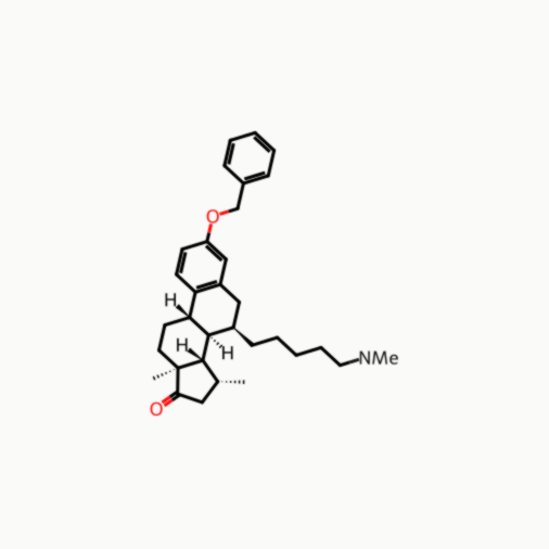 CNCCCCC[C@@H]1Cc2cc(OCc3ccccc3)ccc2[C@H]2CC[C@]3(C)C(=O)C[C@@H](C)[C@H]3[C@H]12